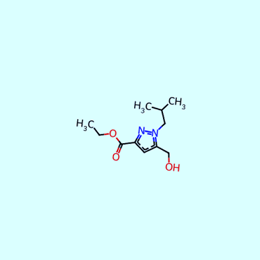 CCOC(=O)c1cc(CO)n(CC(C)C)n1